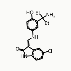 CCC(N)(CC)c1cc(N/C=C2/C(=O)Nc3ccc(Cl)cc32)ccc1O